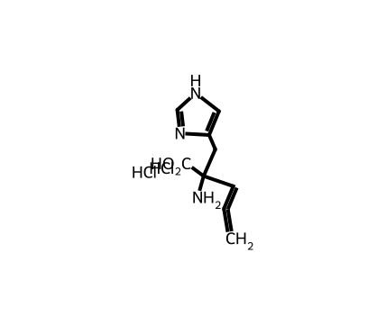 C=C=CC(N)(Cc1c[nH]cn1)C(=O)O.Cl.Cl